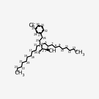 C#CC(I)[N+](CCCCCCCCCC)(CCCCCCCCCC)CCc1ccccc1.[Cl-]